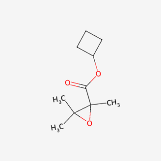 CC1(C)OC1(C)C(=O)OC1CCC1